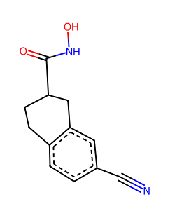 N#Cc1ccc2c(c1)CC(C(=O)NO)CC2